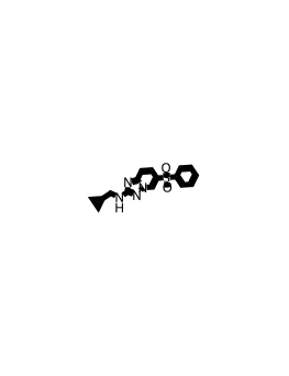 O=S(=O)(c1ccccc1)c1ccc2nc(NCC3CC3)nn2c1